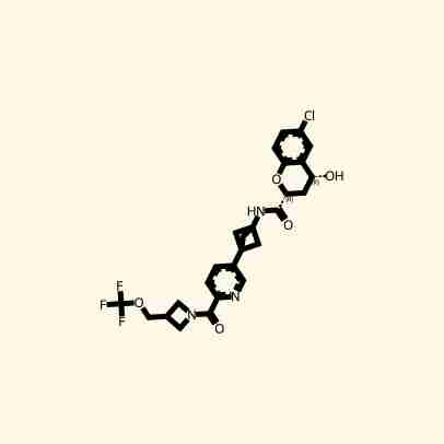 O=C(NC12CC(c3ccc(C(=O)N4CC(COC(F)(F)F)C4)nc3)(C1)C2)[C@H]1C[C@@H](O)c2cc(Cl)ccc2O1